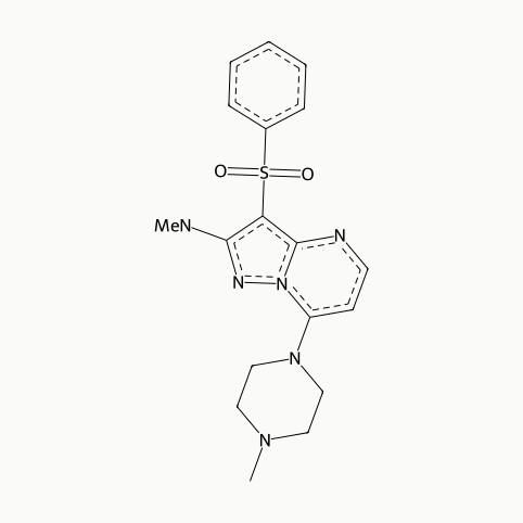 CNc1nn2c(N3CCN(C)CC3)ccnc2c1S(=O)(=O)c1ccccc1